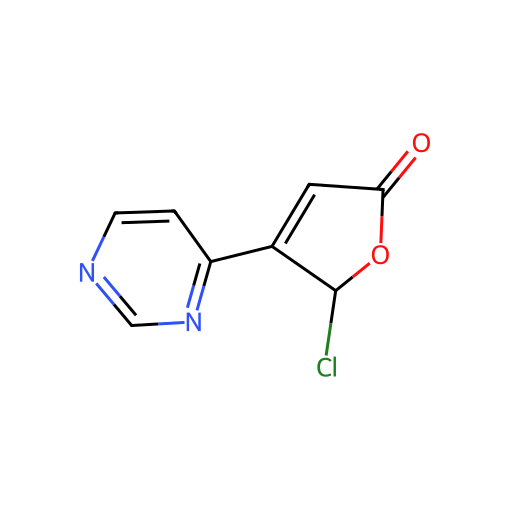 O=C1C=C(c2ccncn2)C(Cl)O1